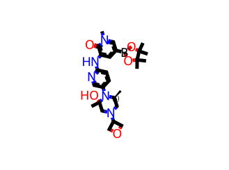 C[C@H]1CN(C2COC2)CC(C)(O)N1c1ccc(Nc2cc(B3OC(C)(C)C(C)(C)O3)cn(C)c2=O)nc1